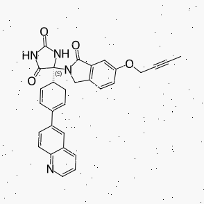 CC#CCOc1ccc2c(c1)C(=O)N([C@]1(C3C=CC(c4ccc5ncccc5c4)=CC3)NC(=O)NC1=O)C2